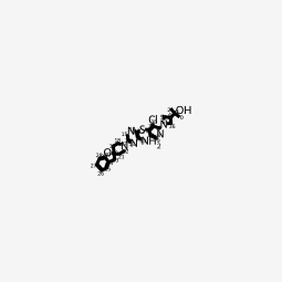 CC(C)(O)C1CN(c2nccc(Sc3ncc(N4CCC5(CC4)Cc4ccccc4O5)nc3N)c2Cl)C1